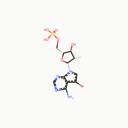 Nc1ncnc2c1c(Br)cn2[C@@H]1O[C@H](COP(=O)(O)O)[C@@H](O)[C@@H]1F